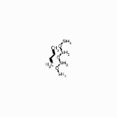 C=CC=C.[SiH3]O[SiH2]O[SiH2]O[SiH3]